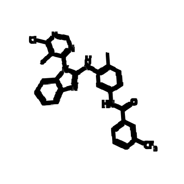 Cc1ccc(NC(=O)c2cccc(C(F)(F)F)c2)cc1Nc1nc2ccccc2n1-c1ncnc(Cl)c1C